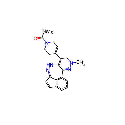 CNC(=O)N1CC=C(C2=C3NN=C4C=Cc5cccc(c54)C3=NN(C)C2)CC1